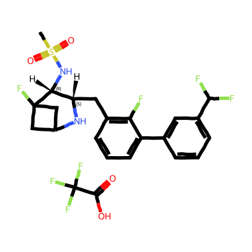 CS(=O)(=O)N[C@@H]1[C@H](Cc2cccc(-c3cccc(C(F)F)c3)c2F)NC2CC1(F)C2.O=C(O)C(F)(F)F